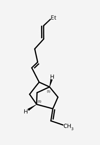 CC=C1C[C@@H]2C[C@H]1CC2C=CCC=CCC